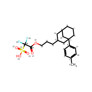 Cc1ccc(C23CCCC(CC(CCCOC(=O)C(F)(F)S(=O)(=O)O)C2)C3)cc1